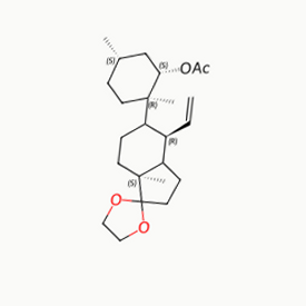 C=C[C@H]1C2CCC3(OCCO3)[C@@]2(C)CCC1[C@@]1(C)CC[C@H](C)C[C@@H]1OC(C)=O